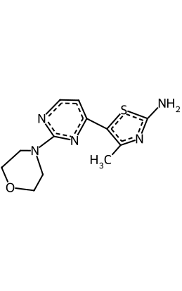 Cc1nc(N)sc1-c1ccnc(N2CCOCC2)n1